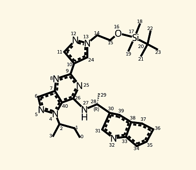 CCC(C)n1ncc2nc(-c3cnn(CCO[Si](C)(C)C(C)(C)C)c3)nc(N[C@H](C)c3cnc4ccccc4c3)c21